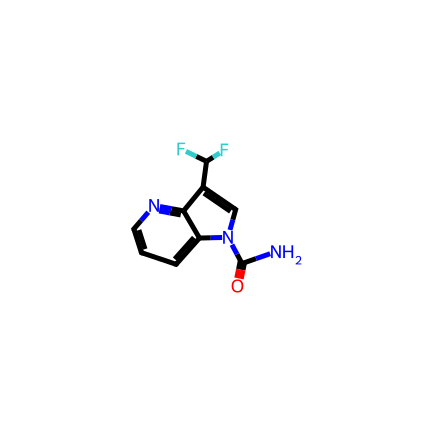 NC(=O)n1cc(C(F)F)c2ncccc21